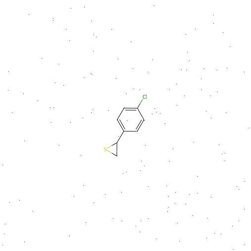 Clc1ccc(C2CS2)cc1